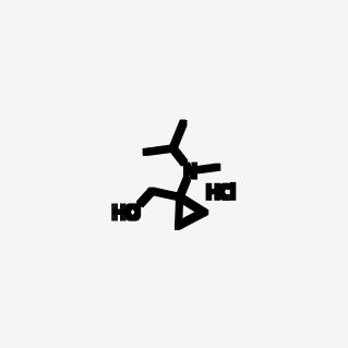 CC(C)N(C)C1(CO)CC1.Cl